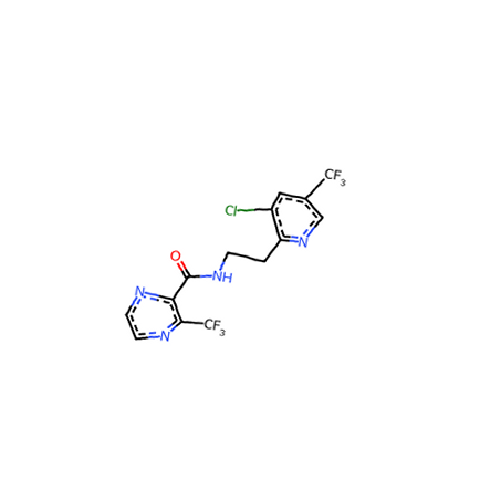 O=C(NCCc1ncc(C(F)(F)F)cc1Cl)c1nccnc1C(F)(F)F